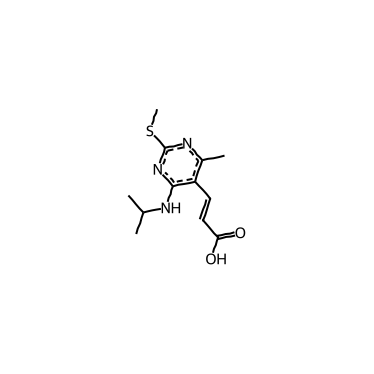 CSc1nc(C)c(/C=C/C(=O)O)c(NC(C)C)n1